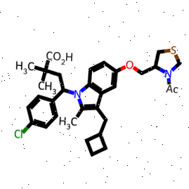 CC(=O)N1CSCC1COc1ccc2c(c1)c(CC1CCC1)c(C)n2C(CC(C)(C)C(=O)O)c1ccc(Cl)cc1